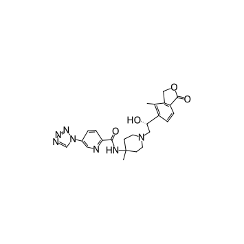 Cc1c([C@@H](O)CN2CCC(C)(NC(=O)c3ccc(-n4cnnn4)cn3)CC2)ccc2c1COC2=O